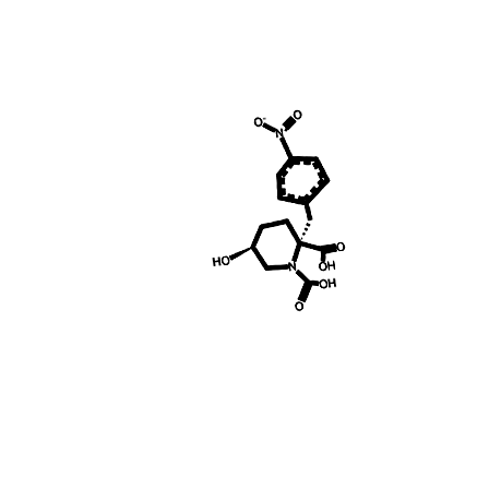 O=C(O)N1C[C@@H](O)CC[C@@]1(Cc1ccc([N+](=O)[O-])cc1)C(=O)O